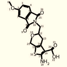 COc1ccc2c(c1)C(=O)N(CC1Cc3c(sc(N)c3C(=O)O)CO1)C2=O